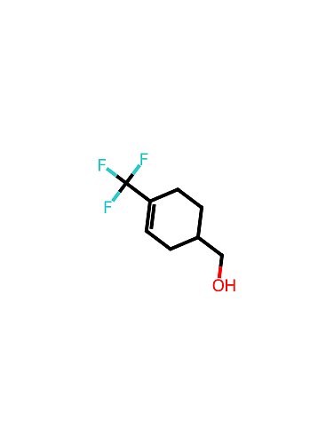 OCC1CC=C(C(F)(F)F)CC1